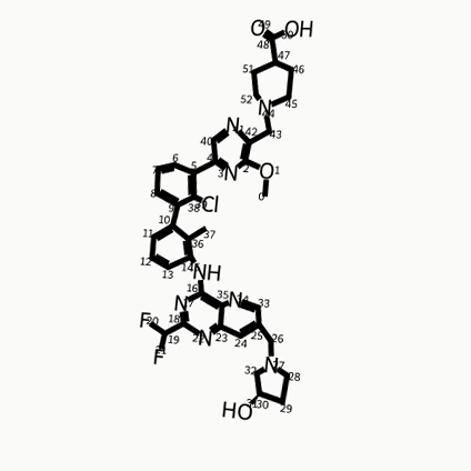 COc1nc(-c2cccc(-c3cccc(Nc4nc(C(F)F)nc5cc(CN6CC[C@@H](O)C6)cnc45)c3C)c2Cl)cnc1CN1CCC(C(=O)O)CC1